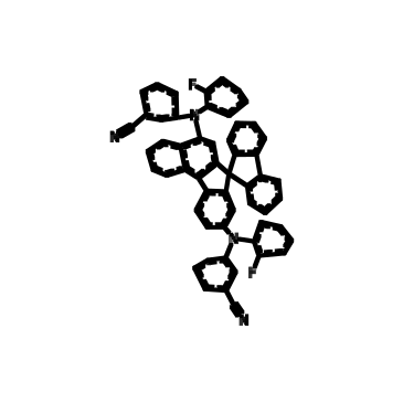 N#Cc1cccc(N(c2ccc3c(c2)C2(c4ccccc4-c4ccccc42)c2cc(N(c4cccc(C#N)c4)c4ccccc4F)c4ccccc4c2-3)c2ccccc2F)c1